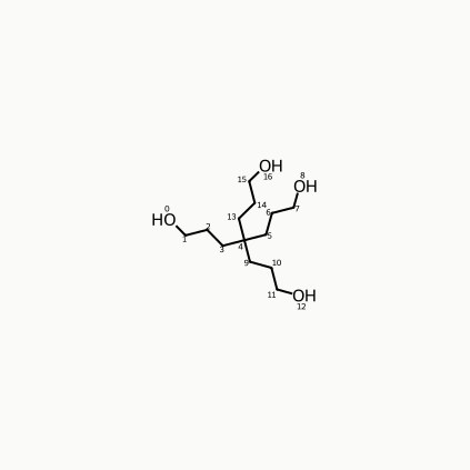 OCCCC(CCCO)(CCCO)CCCO